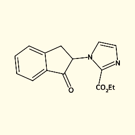 CCOC(=O)c1nccn1C1Cc2ccccc2C1=O